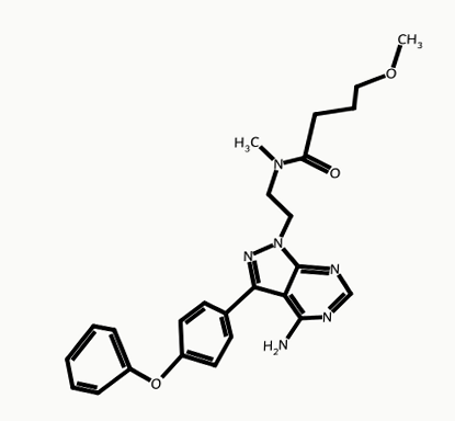 COCCCC(=O)N(C)CCn1nc(-c2ccc(Oc3ccccc3)cc2)c2c(N)ncnc21